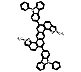 Cn1cc2ccc3c(-c4ccc5c(c4)c4ccccc4n5-c4ccccc4)cc4cc5c(cc(-c6ccc7c(c6)c6ccccc6n7-c6ccccc6)c6ccc7cn(C)nc7c65)cc4c3c2n1